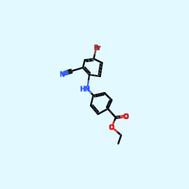 CCOC(=O)c1ccc(Nc2ccc(Br)cc2C#N)cc1